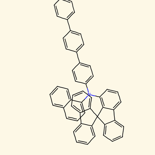 c1ccc(-c2ccc(-c3ccc(N(c4cccc5c4C4(c6ccccc6-c6ccccc64)c4ccccc4-5)c4cccc5ccccc45)cc3)cc2)cc1